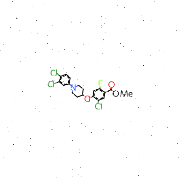 COC(=O)c1cc(Cl)c(OC2CCN(c3ccc(Cl)c(Cl)c3)CC2)cc1F